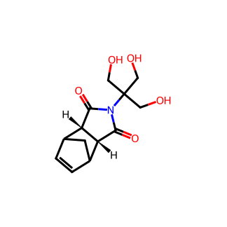 O=C1[C@@H]2C3C=CC(C3)[C@@H]2C(=O)N1C(CO)(CO)CO